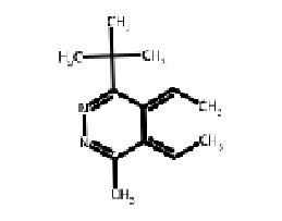 C/C=c1/c(C)nnc(C(C)(C)C)/c1=C/C